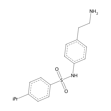 CC(C)c1ccc(S(=O)(=O)Nc2ccc(CCN)cc2)cc1